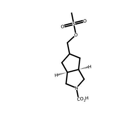 CS(=O)(=O)OCC1C[C@@H]2CN(C(=O)O)C[C@@H]2C1